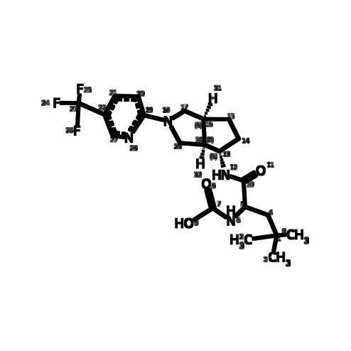 CC(C)(C)CC(NC(=O)O)C(=O)N[C@H]1CC[C@@H]2CN(c3ccc(C(F)(F)F)cn3)C[C@@H]21